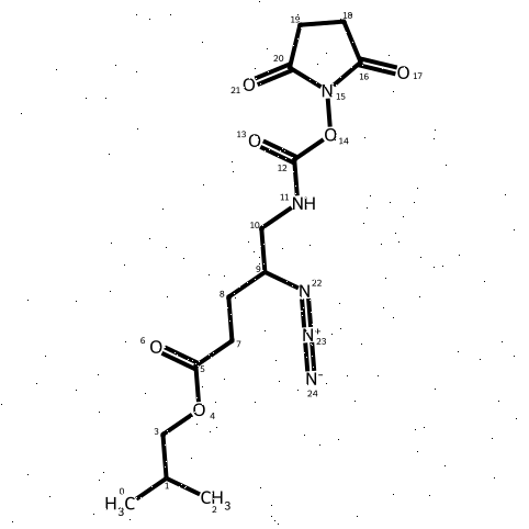 CC(C)COC(=O)CCC(CNC(=O)ON1C(=O)CCC1=O)N=[N+]=[N-]